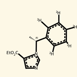 [2H]c1c([2H])c([2H])c([C@@H](C)n2cncc2C(=O)OCC)c([2H])c1[2H]